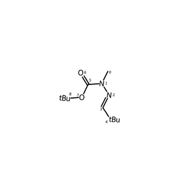 CN(N=CC(C)(C)C)C(=O)OC(C)(C)C